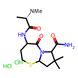 CN[C@@H](C)C(=O)NC1CCSC2CC(C)(C)C(C(N)=O)N2C1=O.Cl.Cl